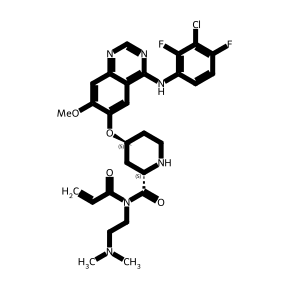 C=CC(=O)N(CCN(C)C)C(=O)[C@@H]1C[C@@H](Oc2cc3c(Nc4ccc(F)c(Cl)c4F)ncnc3cc2OC)CCN1